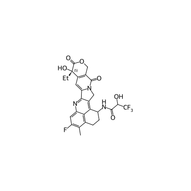 CC[C@@]1(O)C(=O)OCc2c1cc1n(c2=O)Cc2c-1nc1cc(F)c(C)c3c1c2C(NC(=O)C(O)C(F)(F)F)CC3